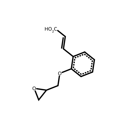 O=C(O)C=Cc1ccccc1OCC1CO1